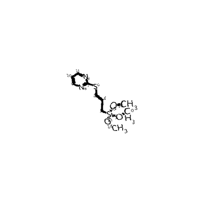 CO[Si](CCCSc1ncccn1)(OC)OC